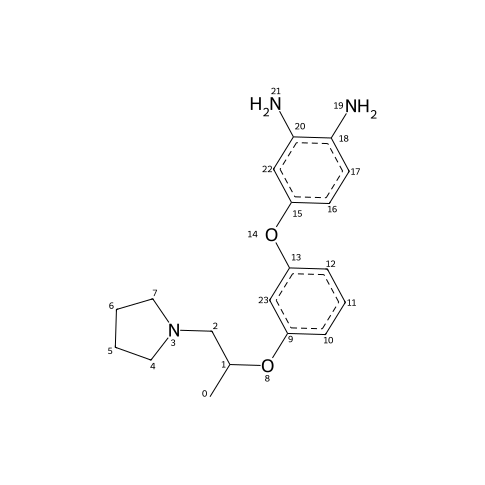 CC(CN1CCCC1)Oc1cccc(Oc2ccc(N)c(N)c2)c1